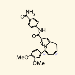 COc1ccc(/C2=C/C=C\CCc3cc(C(=O)Nc4ccc(C(N)=O)cc4)nn32)cc1OC